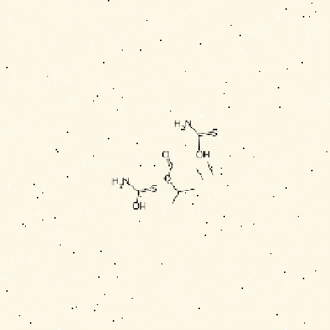 CC.CC.CC(C)OC=O.NC(O)=S.NC(O)=S